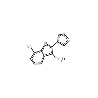 CCOC(=O)c1c(-c2ccsc2)nc2c(Br)cccn12